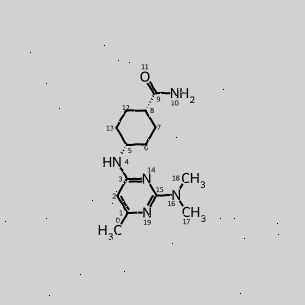 Cc1cc(N[C@H]2CC[C@@H](C(N)=O)CC2)nc(N(C)C)n1